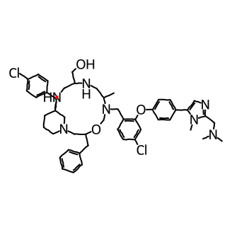 CC1CNC(CO)CNC2(Cc3ccc(Cl)cc3)CCCN(CC(Cc3ccccc3)OCN1Cc1ccc(Cl)cc1Oc1ccc(-c3cnc(CN(C)C)n3C)cc1)C2